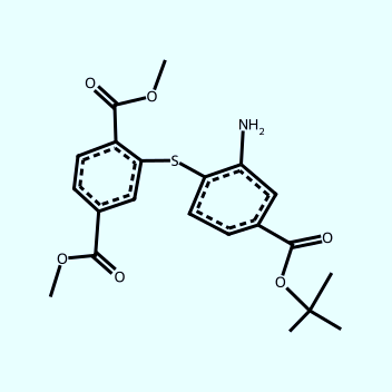 COC(=O)c1ccc(C(=O)OC)c(Sc2ccc(C(=O)OC(C)(C)C)cc2N)c1